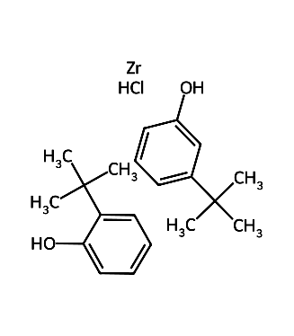 CC(C)(C)c1cccc(O)c1.CC(C)(C)c1ccccc1O.Cl.[Zr]